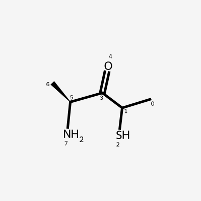 CC(S)C(=O)[C@H](C)N